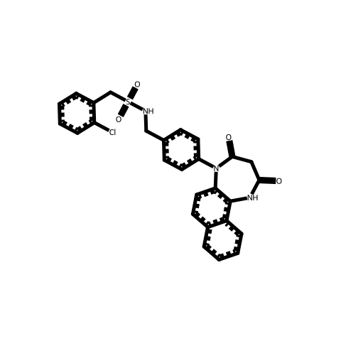 O=C1CC(=O)N(c2ccc(CNS(=O)(=O)Cc3ccccc3Cl)cc2)c2ccc3ccccc3c2N1